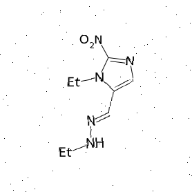 CCNN=Cc1cnc([N+](=O)[O-])n1CC